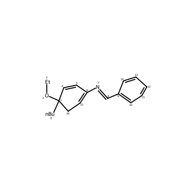 CCCCC1(OCC)C=CC(N=Cc2ccccc2)=CC1